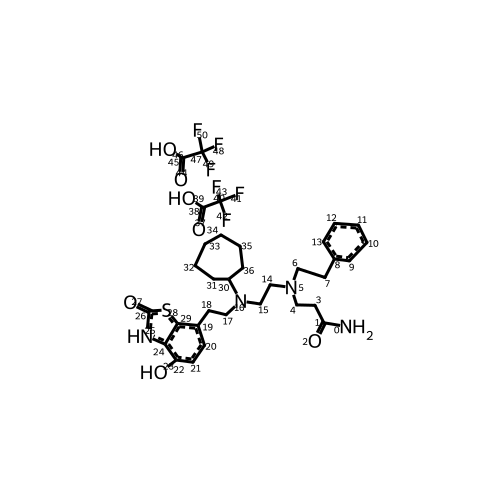 NC(=O)CCN(CCc1ccccc1)CCN(CCc1ccc(O)c2[nH]c(=O)sc12)C1CCCCCC1.O=C(O)C(F)(F)F.O=C(O)C(F)(F)F